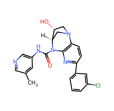 Cc1cncc(NC(=O)N2c3nc(-c4cccc(Cl)c4)ccc3N3C[C@@H](O)[C@H]2C3)c1